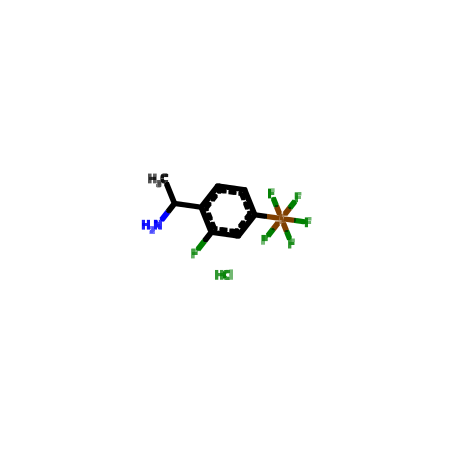 CC(N)c1ccc(S(F)(F)(F)(F)F)cc1F.Cl